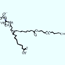 CCCCCCCCCOC(=O)CCCCCCCN(CCCCCCCC(=O)O)CCCN/C(=N/[N+](=O)[O-])NC